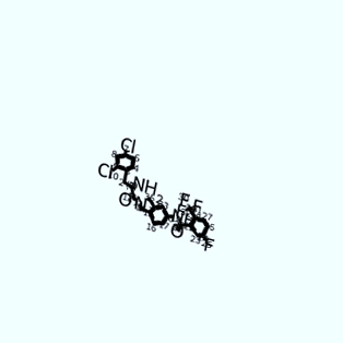 N[C@H](Cc1ccc(Cl)cc1Cl)C(=O)N1Cc2ccc(NC(=O)c3cc(F)ccc3C(F)(F)F)cc2C1